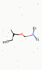 CCN(CC)COC(C)COC